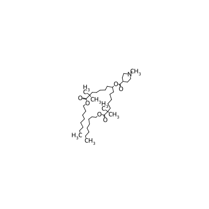 CCCCCCCCOC(=O)C(C)(C)CCCCCC(CCCCCC(C)(C)C(=O)OCCCCCCCC)OC(=O)C1CCN(C)CC1